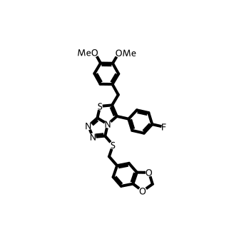 COc1ccc(Cc2sc3nnc(SCc4ccc5c(c4)OCO5)n3c2-c2ccc(F)cc2)cc1OC